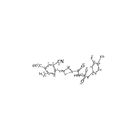 CCOC(=O)c1cc(C#N)c(N2CC(C(=O)NS(=O)(=O)Cc3ccc(F)c(F)c3)C2)nc1C